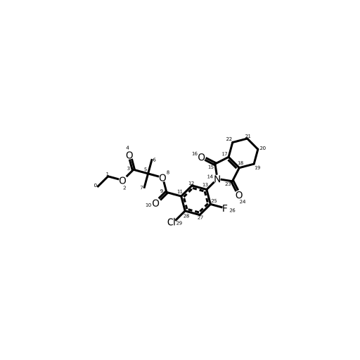 CCOC(=O)C(C)(C)OC(=O)c1cc(N2C(=O)C3=C(CCCC3)C2=O)c(F)cc1Cl